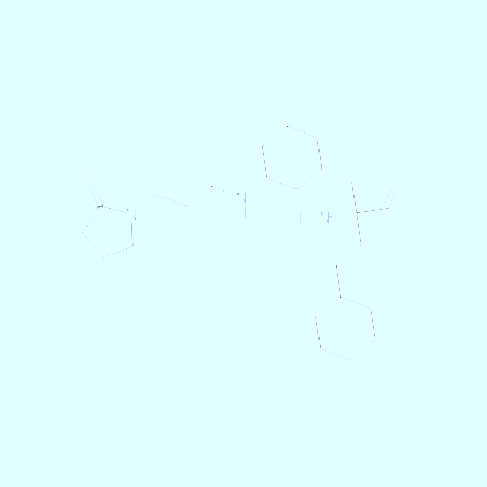 N[C@](C=O)(CCC1CCCCC1)C[C@H]1CCC[C@@H](NCCCN2CCCC2=O)C1